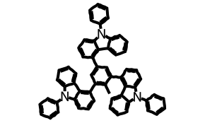 Cc1c(-c2cccc3c2c2ccccc2n3-c2ccccc2)cc(-c2cccc3c2c2ccccc2n3-c2ccccc2)cc1-c1cccc2c1c1ccccc1n2-c1ccccc1